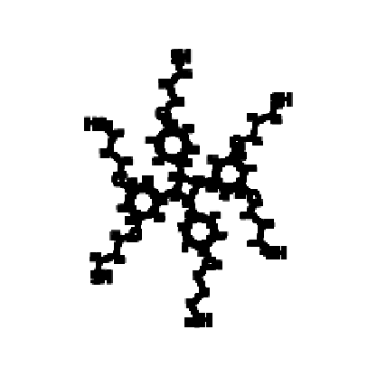 SCCCOc1ccc(C2C(c3cc(OCCCS)cc(OCCCS)c3)C(c3ccc(OCCCS)cc3)C2c2cc(OCCCS)cc(OCCCS)c2)cc1